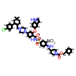 CC1(C)CCC(CN2CCN(c3ccc(C(=O)NS(=O)(=O)c4ccc(NCC5CCN(C(=O)OCc6ccccc6)CC5)c([N+](=O)[O-])c4)c(Oc4ccc5[nH]ccc5c4)c3)CC2)=C(c2ccc(Cl)cc2)C1